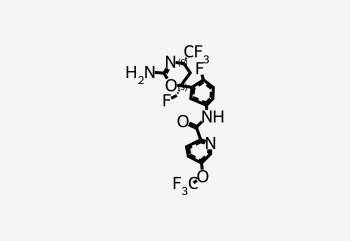 NC1=N[C@H](C(F)(F)F)C[C@@](CF)(c2cc(NC(=O)c3ccc(OC(F)(F)F)cn3)ccc2F)O1